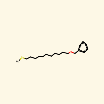 CC(=O)SCCCCCCCCCCCOCc1ccccc1